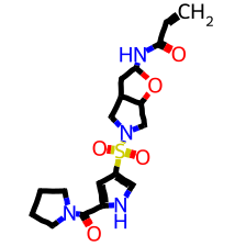 C=CC(=O)NC1CC2CN(S(=O)(=O)c3c[nH]c(C(=O)N4CCCC4)c3)CC2O1